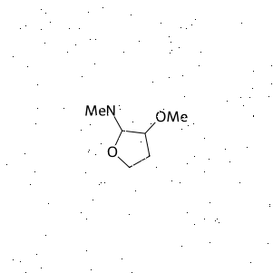 CNC1OCCC1OC